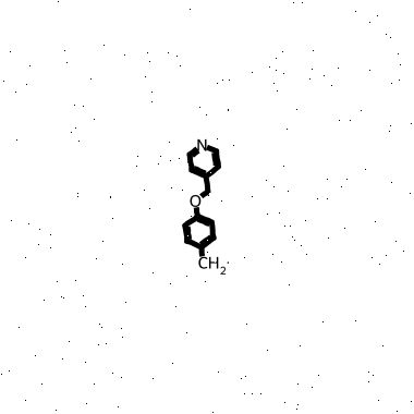 [CH2]c1ccc(OCc2ccncc2)cc1